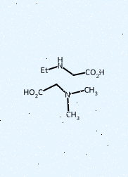 CCNCC(=O)O.CN(C)CC(=O)O